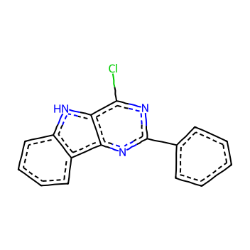 Clc1nc(-c2ccccc2)nc2c1[nH]c1ccccc12